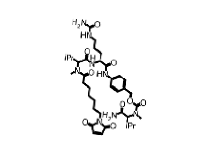 CC(C)C(C(=O)N[C@@H](CCCNC(N)=O)C(=O)Nc1ccc(COC(=O)N(C)[C@H](C(N)=O)C(C)C)cc1)N(C)C(=O)CCCCCCN1C(=O)C=CC1=O